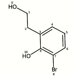 OCCc1cccc(Br)c1O